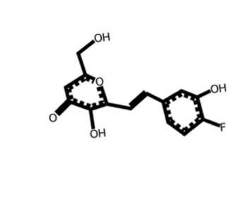 O=c1cc(CO)oc(/C=C/c2ccc(F)c(O)c2)c1O